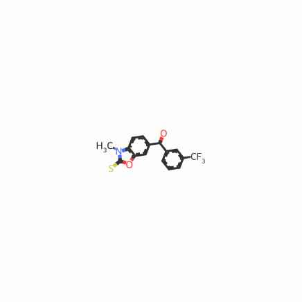 Cn1c(=S)oc2cc(C(=O)c3cccc(C(F)(F)F)c3)ccc21